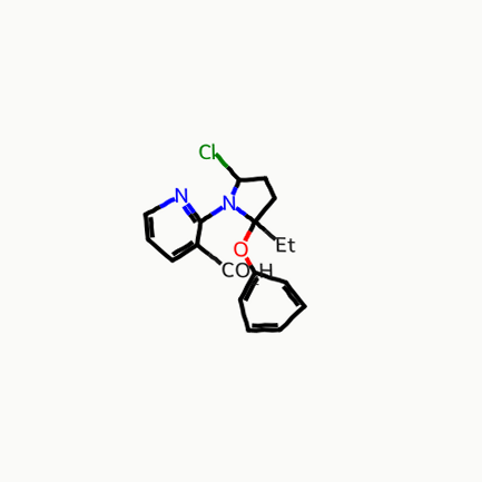 CCC1(Oc2ccccc2)CCC(Cl)N1c1ncccc1C(=O)O